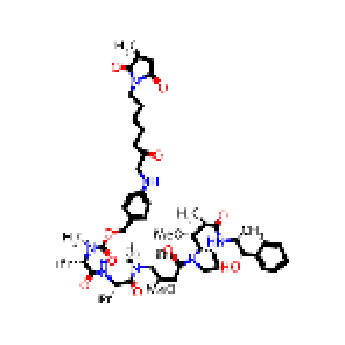 CC[C@H](C)[C@@H]([C@@H](CC(=O)N1CCC[C@H]1[C@H](OC)[C@@H](C)C(=O)N[C@H](C)[C@@H](O)c1ccccc1)OC)N(C)C(=O)[C@@H](NC(=O)[C@H](C(C)C)N(C)C(=O)OCc1ccc(NCC(=O)CCCCCN2C(=O)CC(C)C2=O)cc1)C(C)C